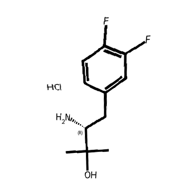 CC(C)(O)[C@H](N)Cc1ccc(F)c(F)c1.Cl